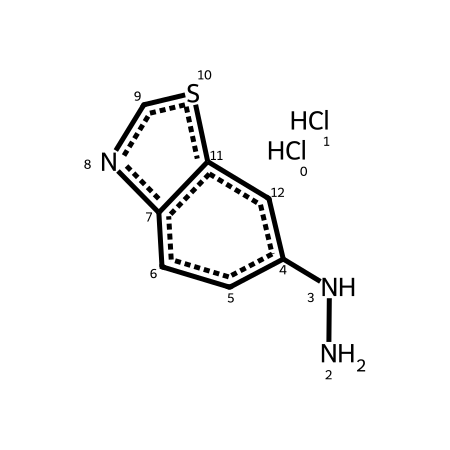 Cl.Cl.NNc1ccc2ncsc2c1